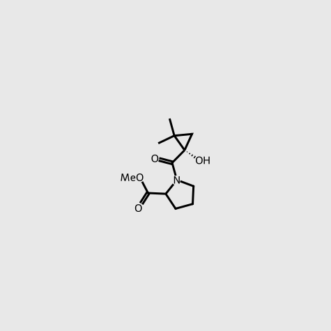 COC(=O)C1CCCN1C(=O)[C@]1(O)CC1(C)C